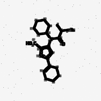 CCCCC(C)C(=O)N(c1cc(C2=CCCCC2)sc1C(=O)O)C1CCCCC1